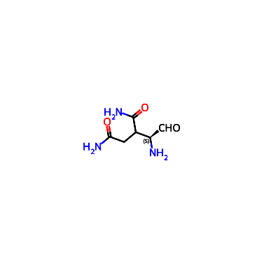 NC(=O)CC(C(N)=O)[C@H](N)C=O